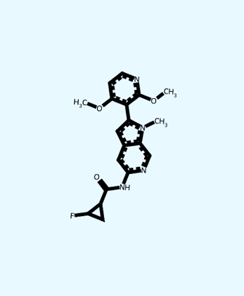 COc1ccnc(OC)c1-c1cc2cc(NC(=O)C3CC3F)ncc2n1C